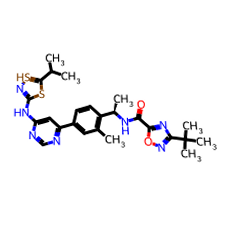 Cc1cc(-c2cc(NC3=N[SH]=C(C(C)C)S3)ncn2)ccc1[C@@H](C)NC(=O)c1nc(C(C)(C)C)no1